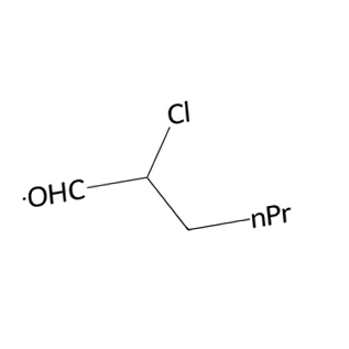 CCCCC(Cl)[C]=O